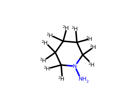 [2H]C1([2H])N(N)C([2H])([2H])C([2H])([2H])C([2H])([2H])C1([2H])[2H]